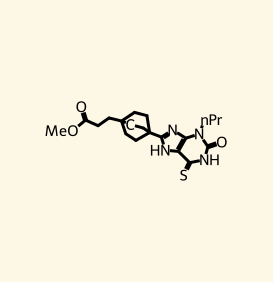 CCCn1c(=O)[nH]c(=S)c2[nH]c(C34CCC(CCC(=O)OC)(CC3)CC4)nc21